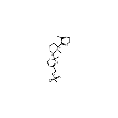 Cc1cccnc1[C@@H]1CCC[C@H](C2(C)CC=CC(COS(C)(=O)=O)=N2)N1C